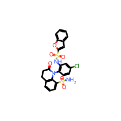 NS(=O)(=O)c1cccc2c1N(c1ccc(Cl)cc1NS(=O)(=O)c1cc3ccccc3o1)C(=O)CC2